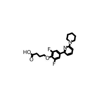 O=C(O)CCCOc1c(F)cc(-c2cccc(N3CCCCC3)n2)cc1F